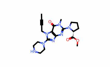 CC#CCn1c(N2CCNCC2)nc2nc(N3CCC[C@@H]3C(=O)OC)n(C)c(=O)c21